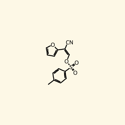 Cc1ccc(S(=O)(=O)OC=C(C#N)c2ccco2)cc1